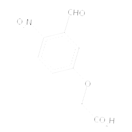 O=Cc1cc(OCC(=O)O)ccc1[N+](=O)[O-]